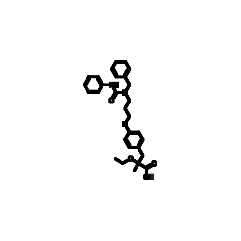 CCOC(C)(Cc1ccc(OCCCN(Cc2ccccc2)C(=O)Nc2ccccc2)cc1)C(=O)O